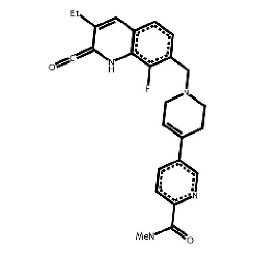 CCC1=Cc2ccc(CN3CC=C(c4ccc(C(=O)NC)nc4)CC3)c(F)c2NC1=C=O